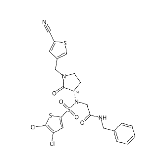 N#Cc1cc(CN2CC[C@H](N(CC(=O)NCc3ccccc3)S(=O)(=O)c3cc(Cl)c(Cl)s3)C2=O)cs1